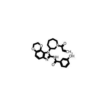 C=CC(=O)N1CCCCC(n2c(NC(=O)c3cccc(O)c3)nc3ccc4c(c32)OCCO4)C1